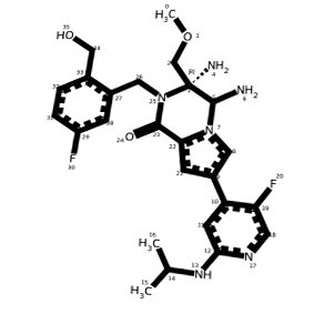 COC[C@@]1(N)C(N)n2cc(-c3cc(NC(C)C)ncc3F)cc2C(=O)N1Cc1cc(F)ccc1CO